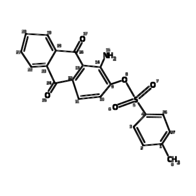 Cc1ccc(S(=O)(=O)Oc2ccc3c(c2N)C(=O)c2ccccc2C3=O)cc1